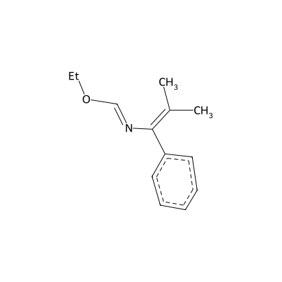 CCOC=NC(=C(C)C)c1ccccc1